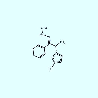 CC(/C(=N/NC=O)C1=CCCC=C1)n1ccc(C(F)(F)F)n1